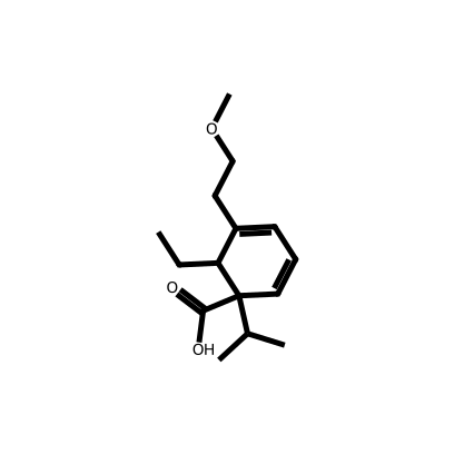 CCC1C(CCOC)=CC=CC1(C(=O)O)C(C)C